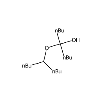 CCCCC(CCCC)OC(O)(CCCC)CCCC